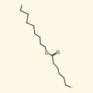 [CH2]CCCCCC(=O)OCCCCCCCCC